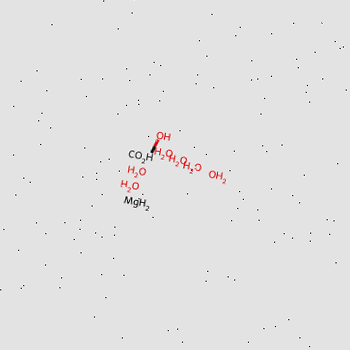 O.O.O.O.O.O.O=C(O)O.[MgH2]